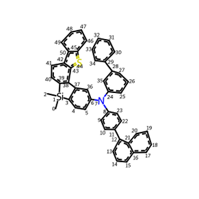 C[Si]1(C)c2ccc(N(c3ccc(-c4cccc5ccccc45)cc3)c3cccc(-c4ccccc4)c3)cc2-c2c1ccc1c2sc2ccccc21